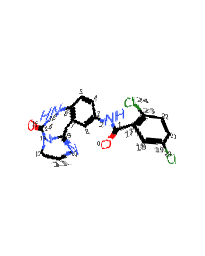 O=C(Nc1ccc2c(c1)C1=NCCN1C(=O)N2)c1cc(Cl)ccc1Cl